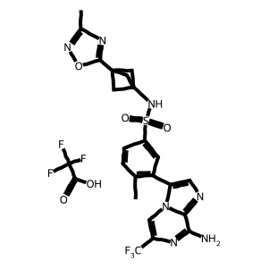 Cc1noc(C23CC(NS(=O)(=O)c4ccc(C)c(-c5cnc6c(N)nc(C(F)(F)F)cn56)c4)(C2)C3)n1.O=C(O)C(F)(F)F